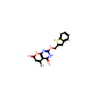 CCc1cc(=O)oc2nc(OCc3cc4ccccc4s3)[nH]c(=O)c12